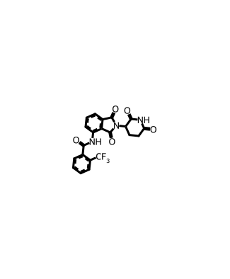 O=C1CCC(N2C(=O)c3cccc(NC(=O)c4ccccc4C(F)(F)F)c3C2=O)C(=O)N1